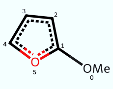 [CH2]Oc1ccco1